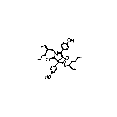 CCCCC(CC)CN1C(=O)C2=C(c3ccc(O)cc3)N(CC(CC)CCCC)C(=O)C2=C1c1ccc(O)cc1